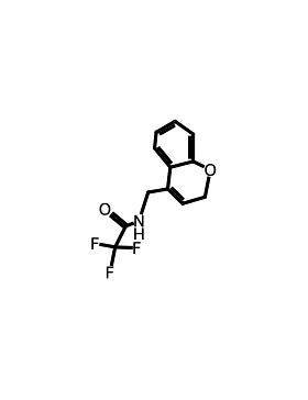 O=C(NCC1=CCOc2ccccc21)C(F)(F)F